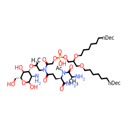 CCCCCCCCCCCCCCCCOCC(COP(=O)(O)OCC(=O)N(CC(C)O[C@@H]1[C@@H](N)[C@@H](O)O[C@H](CO)[C@H]1O)C(=O)CC[C@H](C(N)=O)N(C(C)=O)C(=O)[C@H](C)N)OCCCCCCCCCCCCCCCC